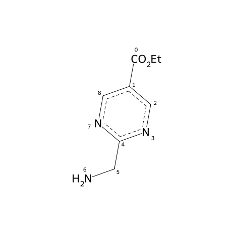 CCOC(=O)c1cnc(CN)nc1